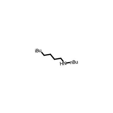 CCCCNCCCCC(C)CC